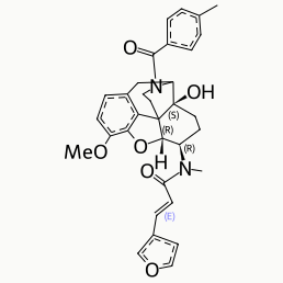 COc1ccc2c3c1O[C@H]1[C@H](N(C)C(=O)/C=C/c4ccoc4)CC[C@@]4(O)C(C2)N(C(=O)c2ccc(C)cc2)CCC314